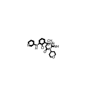 C[C@@]1(c2cccc(Nc3cccnc3)c2Cl)CC(=O)N(C2CCOCC2)C(=N)N1